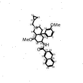 COc1cccc(C23CCN(CC4CC4)CC2C(OC)CC(NC(=O)c2ccc4ccccc4c2)C3)c1